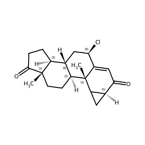 C[C@]12CC[C@H]3[C@@H](C[C@@H](Cl)C4=CC(=O)[C@H]5CC5[C@@]43C)[C@@H]1CCC2=O